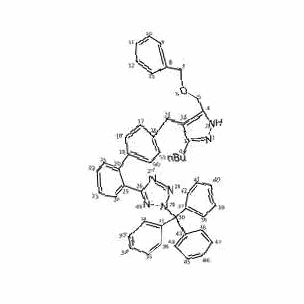 CCCCc1n[nH]c(COCc2ccccc2)c1Cc1ccc(-c2ccccc2-c2nnn(C(c3ccccc3)(c3ccccc3)c3ccccc3)n2)cc1